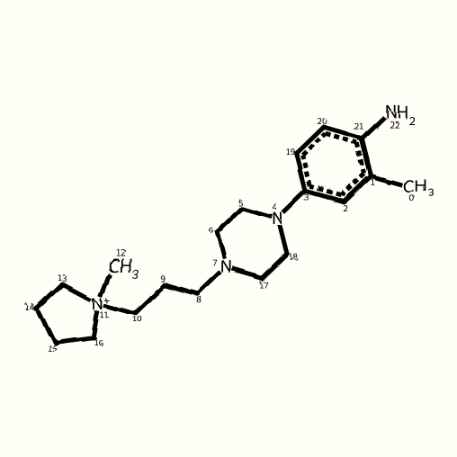 Cc1cc(N2CCN(CCC[N+]3(C)CCCC3)CC2)ccc1N